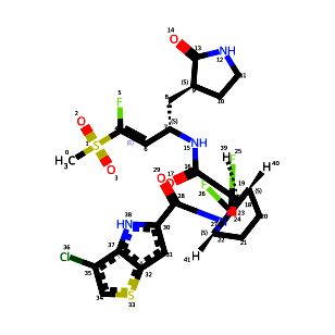 CS(=O)(=O)/C(F)=C/[C@H](C[C@@H]1CCNC1=O)NC(=O)[C@H]1[C@@H]2CC[C@@H](CC2(F)F)N1C(=O)c1cc2scc(Cl)c2[nH]1